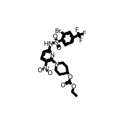 CCOC(=O)OC1CCN(c2nc(NS(=O)(=O)c3ccc(C(F)(F)F)cc3Br)ccc2[N+](=O)[O-])CC1